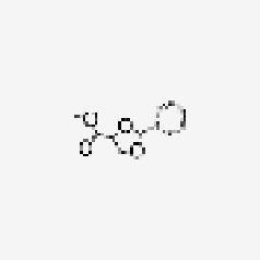 COC(=O)C1COC(c2ccccc2)O1